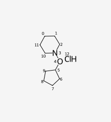 C1CCN(OC2CCCC2)CC1.Cl